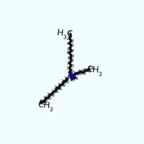 CCCCCCCCCCCCCCCCCc1n(CCCCCCCCCCCCCCCC)cc[n+]1CCCCCCC